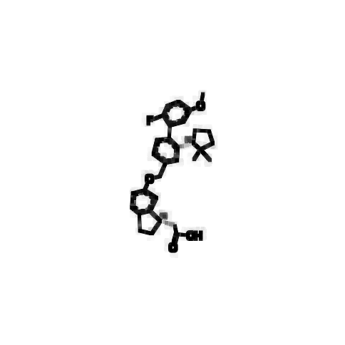 COc1ccc(F)c(-c2ccc(COc3ccc4c(c3)[C@H](CC(=O)O)CC4)cc2[C@@H]2CCCC2(C)C)c1